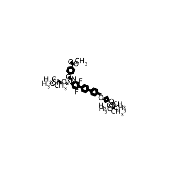 COC(=O)[C@H]1CC[C@H](Oc2nc3c(F)c(-c4ccc(-c5ccc(COC6CC(O[Si](C)(C)C(C)(C)C)C6)cc5)cc4)c(F)cc3n2COCC[Si](C)(C)C)CC1